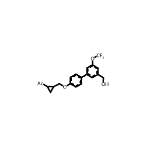 CC(=O)C1CC1COc1ccc(-c2cc(CO)cc(OC(F)(F)F)c2)cc1